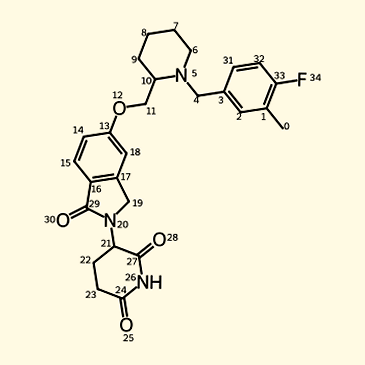 Cc1cc(CN2CCCCC2COc2ccc3c(c2)CN(C2CCC(=O)NC2=O)C3=O)ccc1F